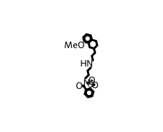 COc1cccc2c1CC(CCCNCCCCN1C(=O)c3ccccc3S1(=O)=O)CC2